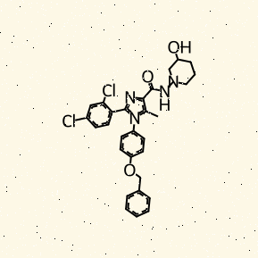 Cc1c(C(=O)NN2CCCC(O)C2)nc(-c2ccc(Cl)cc2Cl)n1-c1ccc(OCc2ccccc2)cc1